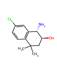 CC1(C)C[C@H](O)[C@@H](N)c2cc(Cl)ccc21